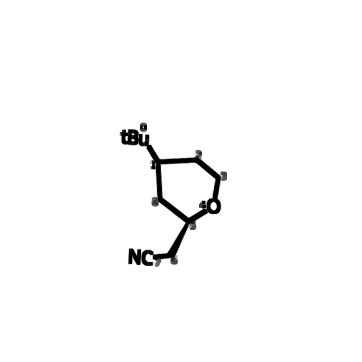 CC(C)(C)C1CCO[C@@H](CC#N)C1